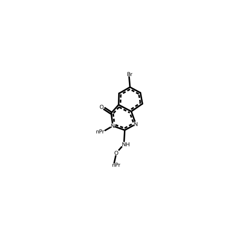 CCCONc1nc2ccc(Br)cc2c(=O)n1CCC